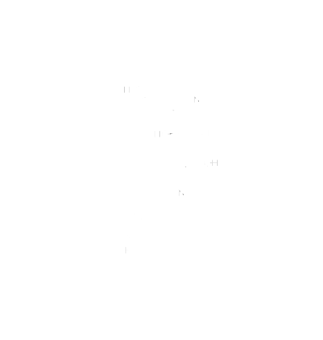 COc1ccc2ncc(Cl)c([C@H](O)CCC3(C(=O)O)CCN(CC#Cc4ccc(F)c(F)c4)CC3)c2c1